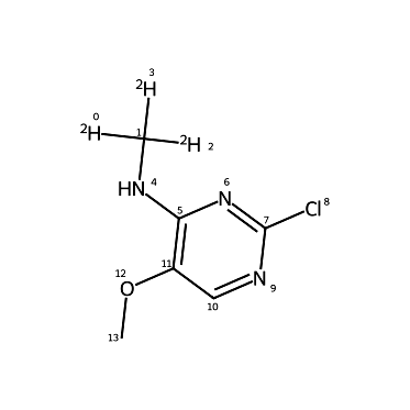 [2H]C([2H])([2H])Nc1nc(Cl)ncc1OC